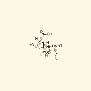 CCC(C)[C@H](NCl)C(=O)N[C@@]1(C(=O)O)C[C@H](O)[C@H]2[C@H](C(=O)O)[C@H]21